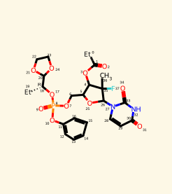 CCC(=O)OC1C(COP(=O)(Oc2ccccc2)O[C@H](CC)C2OCCO2)OC(n2ccc(=O)[nH]c2=O)C1(C)F